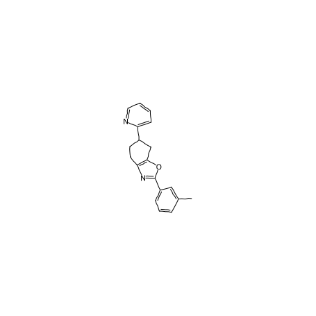 Cc1cccc(-c2nc3c(o2)CC(c2ccccn2)CC3)c1